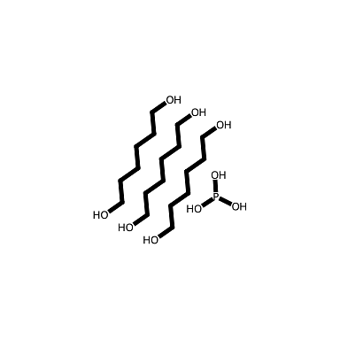 OCCCCCCO.OCCCCCCO.OCCCCCCO.OP(O)O